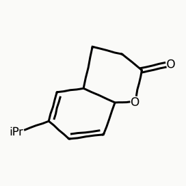 CC(C)C1=CC2CCC(=O)OC2C=C1